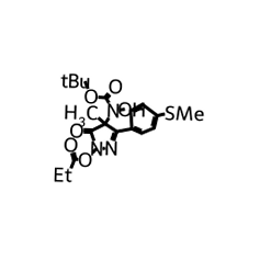 CCC(=O)ON1N=C(c2ccc(SC)cc2)C(C)(N(O)C(=O)OC(C)(C)C)C1=O